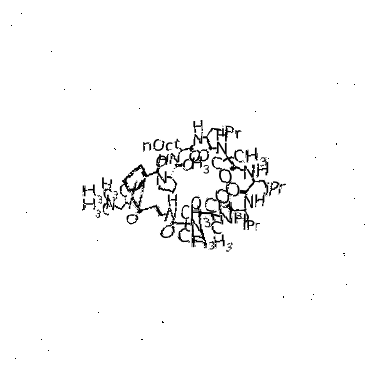 CCCCCCCC[C@H](NC(=O)[C@@H]1CCCN1C(=O)c1ccccc1)C(=O)N[C@@H](CC(C)C)C(=O)NC(C)(C)C(=O)N[C@@H](CC(C)C)C(=O)N[C@@H](CC(C)C)C(=O)NC(C)(C)C(=O)NC(C)(C)C(=O)NCCC(=O)N[C@@H](C)CN(C)C